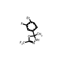 CCc1ccc(C2(C)NN=C(C(F)(F)F)O2)cc1F